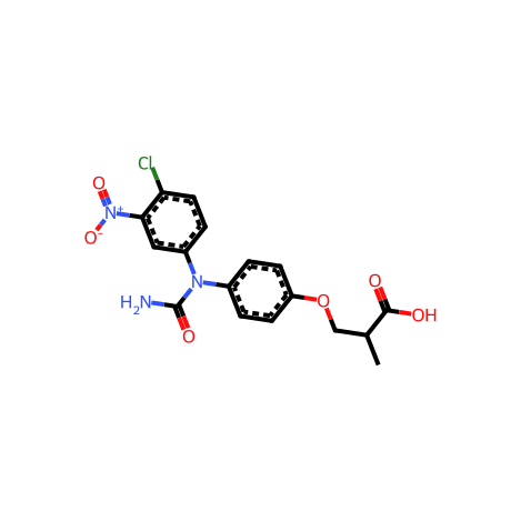 CC(COc1ccc(N(C(N)=O)c2ccc(Cl)c([N+](=O)[O-])c2)cc1)C(=O)O